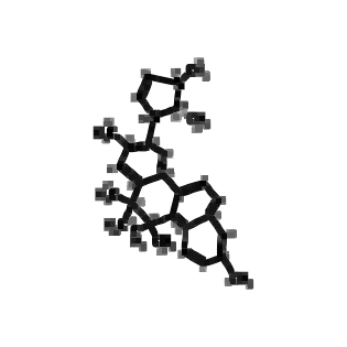 Cc1ccc2c3c(ccc2c1)-c1cc(N2C=CN(C)[C@@H]2C)c(C)cc1C(C)(C)C3(C)C